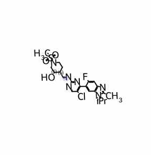 Cc1nc2cc(F)c(-c3nc(/N=C/[C@@H]4CCN(S(C)(=O)=O)C[C@H]4O)ncc3Cl)cc2n1C(C)C